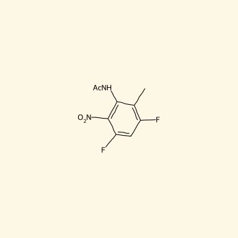 CC(=O)Nc1c(C)c(F)cc(F)c1[N+](=O)[O-]